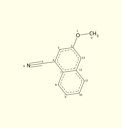 COc1cc(C#N)c2c[c]ccc2c1